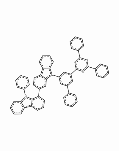 c1ccc(-c2cc(-c3nc(-c4ccccc4)nc(-c4ccccc4)n3)cc(-n3c4ccccc4c4ccc(-c5cccc6c7ccccc7n(-c7ccccc7)c56)cc43)c2)cc1